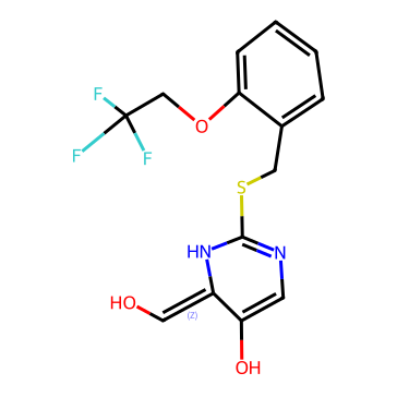 O/C=C1\NC(SCc2ccccc2OCC(F)(F)F)=NC=C1O